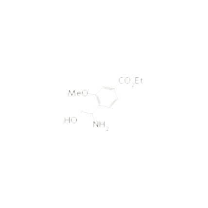 CCOC(=O)c1ccc(C(N)CO)c(OC)c1